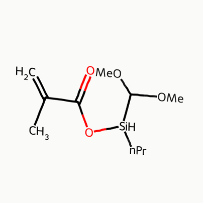 C=C(C)C(=O)O[SiH](CCC)C(OC)OC